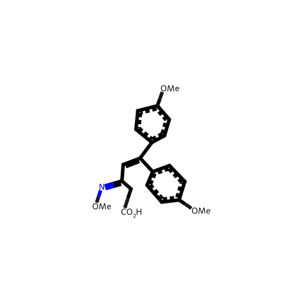 CO/N=C(/C=C(c1ccc(OC)cc1)c1ccc(OC)cc1)CC(=O)O